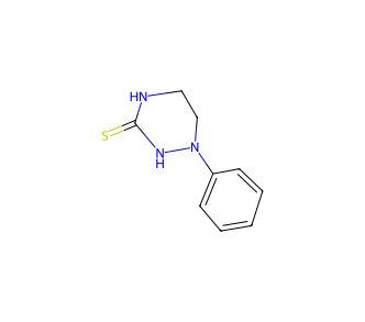 S=C1NCCN(c2ccccc2)N1